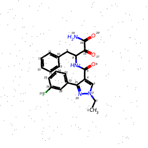 CCn1cc(C(=O)NC(Cc2ccccc2)C(=O)C(N)=O)c(-c2cccc(F)c2)n1